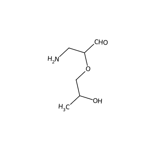 CC(O)COC(C=O)CN